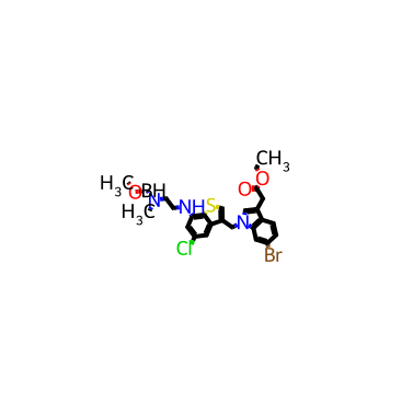 CCOC(=O)Cc1cn(Cc2csc3c(NCCN(C)BOC)cc(Cl)cc23)c2cc(Br)ccc12